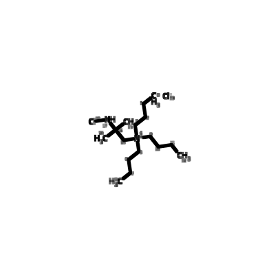 CCCC[N+](CCCC)(CCCC)CC(C)(C)NCl.[Cl-]